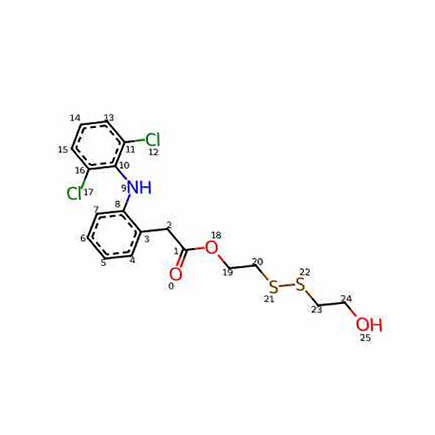 O=C(Cc1ccccc1Nc1c(Cl)cccc1Cl)OCCSSCCO